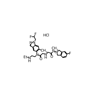 CCNCCN(C(=O)CNCC(=O)N(C)N1Cc2ccc(F)cc2C1)c1cc2cnn(CC(F)F)c2cc1C.Cl